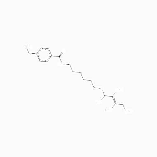 CC(=O)OC/C(OC(C)=O)=C(\OC(C)=O)C(O)OCCCCCCNC(=O)c1ccc(CN)cc1